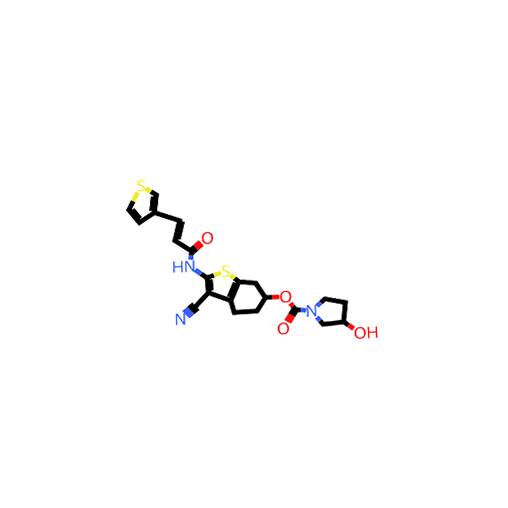 N#Cc1c(NC(=O)C=Cc2ccsc2)sc2c1CCC(OC(=O)N1CCC(O)C1)C2